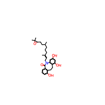 C/C(=C\CN1C(=O)c2cccc(O)c2CCc2c(O)cc(O)cc21)CCCC(C)CCC1OC1(C)C